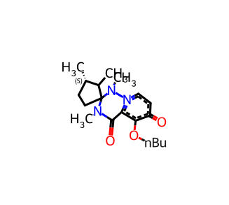 CCCCOc1c2n(ccc1=O)N(C)C1(CC[C@H](C)C1C)N(C)C2=O